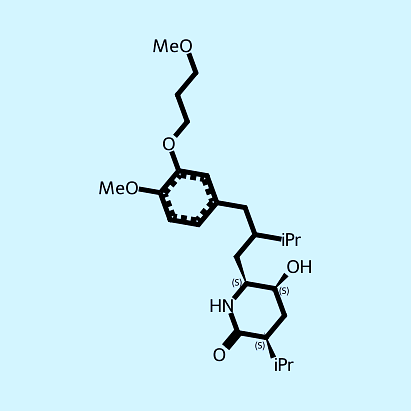 COCCCOc1cc(CC(C[C@@H]2NC(=O)[C@H](C(C)C)C[C@@H]2O)C(C)C)ccc1OC